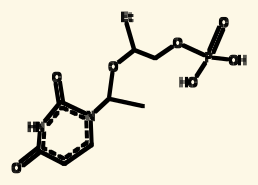 CCC(COP(=O)(O)O)OC(C)n1ccc(=O)[nH]c1=O